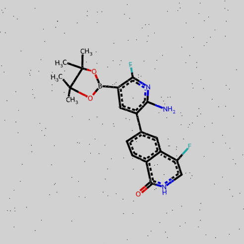 CC1(C)OB(c2cc(-c3ccc4c(=O)[nH]cc(F)c4c3)c(N)nc2F)OC1(C)C